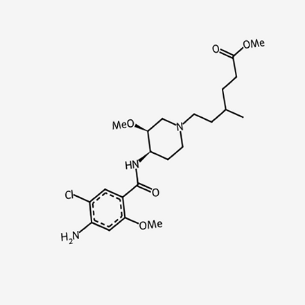 COC(=O)CCC(C)CCN1CC[C@@H](NC(=O)c2cc(Cl)c(N)cc2OC)[C@@H](OC)C1